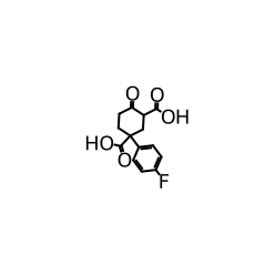 O=C(O)C1CC(C(=O)O)(c2ccc(F)cc2)CCC1=O